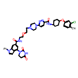 CC(C)n1ccc2c(N3CCC(=O)NC3=O)cc(C(=O)NCCOCCN3CCN(c4ccc(C(=O)NC5CCC(Oc6ccc(C#N)c(Cl)c6)CC5)nn4)CC3)cc21